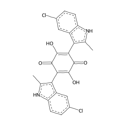 Cc1[nH]c2ccc(Cl)cc2c1C1=C(O)C(=O)C(c2c(C)[nH]c3ccc(Cl)cc23)=C(O)C1=O